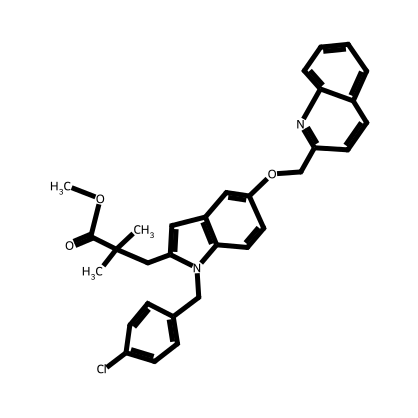 COC(=O)C(C)(C)Cc1cc2cc(OCc3ccc4ccccc4n3)ccc2n1Cc1ccc(Cl)cc1